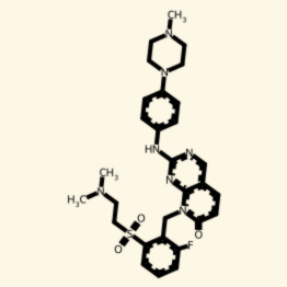 CN(C)CCS(=O)(=O)c1cccc(F)c1Cn1c(=O)ccc2cnc(Nc3ccc(N4CCN(C)CC4)cc3)nc21